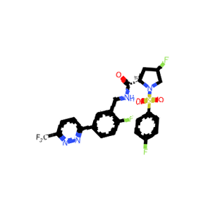 O=C(NCc1cc(-c2ccc(C(F)(F)F)nn2)ccc1F)[C@@H]1CC(F)CN1S(=O)(=O)c1ccc(F)cc1